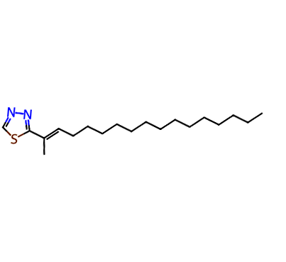 CCCCCCCCCCCCCCC=C(C)c1nncs1